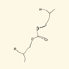 CC(Br)COC(=O)OCC(C)Br